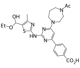 CCOC(O)c1sc(Nc2nc(-c3ccc(C(=O)O)cc3)cc(N3CCCN(C(C)=O)CC3)n2)nc1C